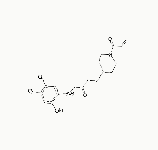 C=CC(=O)N1CCC(CCC(=O)CNc2cc(Cl)c(Cl)cc2O)CC1